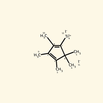 CC1=C(C)C(C)(C)[C]([Ti+2])=C1C.[I-].[I-]